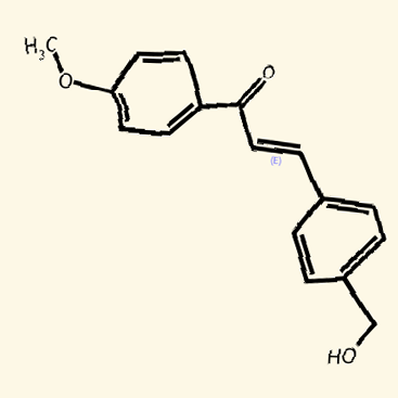 COc1ccc(C(=O)/C=C/c2ccc(CO)cc2)cc1